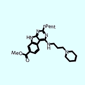 CCCCCc1nc(NCCCN2CCCCC2)c2c(n1)[nH]c1cc(C(=O)OC)ccc12